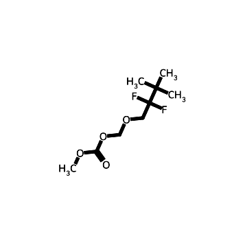 COC(=O)OCOCC(F)(F)C(C)(C)C